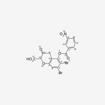 O=C(Oc1c(Br)c(Br)cc2c1CC(=O)C(C(=O)O)O2)c1cccc([N+](=O)[O-])c1